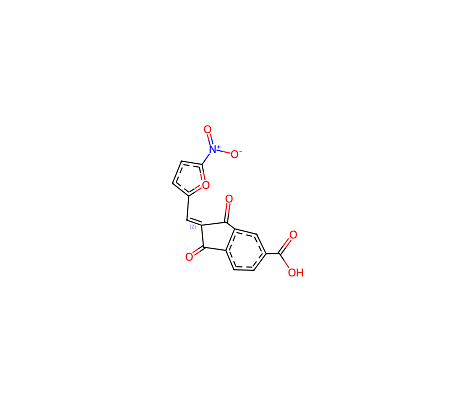 O=C(O)c1ccc2c(c1)C(=O)/C(=C\c1ccc([N+](=O)[O-])o1)C2=O